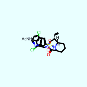 C=C[C@H]1CN(Cc2ccccn2)C(=O)C2CCC[C@@H]1N2S(=O)(=O)c1cc(Cl)c(NC(C)=O)c(Cl)c1